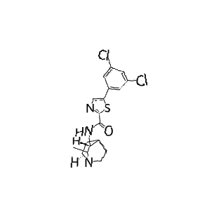 C[C@H]1[C@H](NC(=O)c2ncc(-c3cc(Cl)cc(Cl)c3)s2)C2CCN1CC2